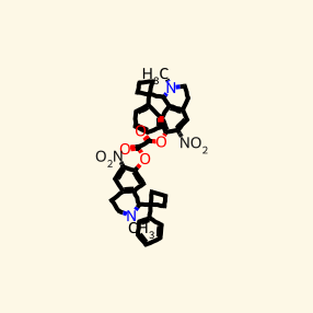 CN1CCc2cc([N+](=O)[O-])c(OC(=O)C(=O)Oc3cc4c(cc3[N+](=O)[O-])CCN(C)C4C3(c4ccccc4)CCC3)cc2C1C1(c2ccccc2)CCC1